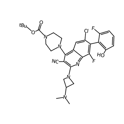 CN(C)C1CN(c2nc3c(F)c(-c4c(O)cccc4F)c(Cl)cc3c(N3CCN(C(=O)OC(C)(C)C)CC3)c2C#N)C1